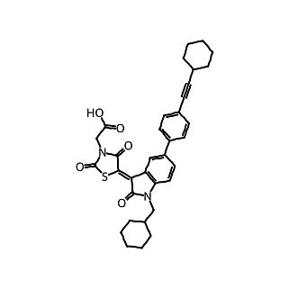 O=C(O)CN1C(=O)S/C(=C2\C(=O)N(CC3CCCCC3)c3ccc(-c4ccc(C#CC5CCCCC5)cc4)cc32)C1=O